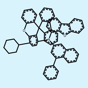 c1ccc(-c2cc(N(c3ccc(C4CCCCC4)c4c3C3(c5ccccc5O4)c4ccccc4-c4ccccc43)c3cccc4c3oc3ccccc34)cc3ccccc23)cc1